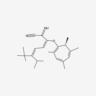 CC1=CC(C)=C(O/C(=C/C=C(\C(C)C)C(C)(C)C)C(=N)C#N)[C@@H](C)C(C)=C1